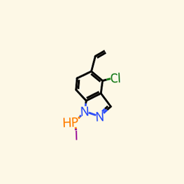 C=Cc1ccc2c(cnn2PI)c1Cl